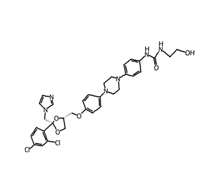 O=C(NCCO)Nc1ccc(N2CCN(c3ccc(OC[C@@H]4CO[C@@](Cn5ccnc5)(c5ccc(Cl)cc5Cl)O4)cc3)CC2)cc1